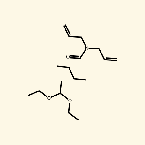 C=CCN(C=O)CC=C.CCCC.CCOC(C)OCC